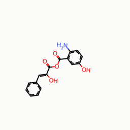 Nc1ccc(O)cc1C(=O)OC(=O)C(O)=Cc1ccccc1